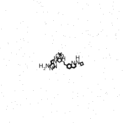 CC1(C)O[C@@H]2[C@@H](CCc3ccc4ccc(NC5CCC5)nc4c3)C[C@@H](n3ccc4c(N)ncnc43)[C@@H]2O1